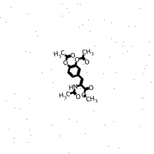 COC(=O)C(=Cc1ccc(OC(C)=O)c(OC(C)=O)c1)NC(C)=O